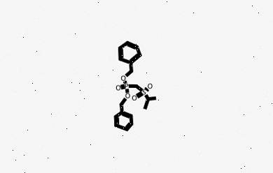 CC(C)S(=O)(=O)CP(=O)(OCc1ccccc1)OCc1ccccc1